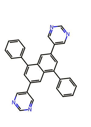 c1ccc(-c2cc(-c3cncnc3)cc3c(-c4ccccc4)cc(-c4cncnc4)cc23)cc1